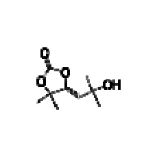 CC(C)(O)C=C1OC(=O)OC1(C)C